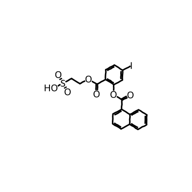 O=C(OCCS(=O)(=O)O)c1ccc(I)cc1OC(=O)c1cccc2ccccc12